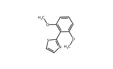 COc1cccc(OC)c1-c1nc[c]s1